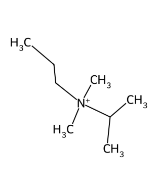 CCC[N+](C)(C)C(C)C